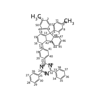 Cc1ccc(C2(c3ccc(C)cc3)C3=CC=CC(c4ccc(-c5nc(-c6ccccc6)nc(-c6ccccc6)n5)cc4)C3c3ccccc32)cc1